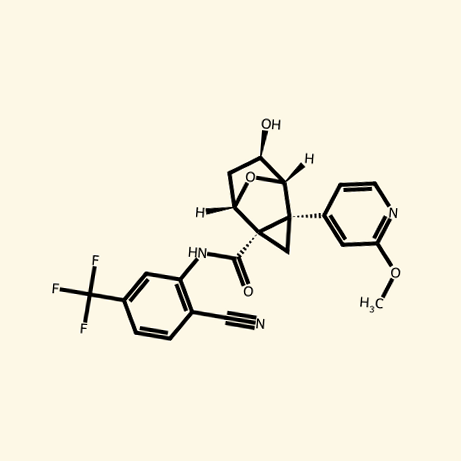 COc1cc([C@]23C[C@@]2(C(=O)Nc2cc(C(F)(F)F)ccc2C#N)[C@@H]2C[C@@H](O)[C@H]3O2)ccn1